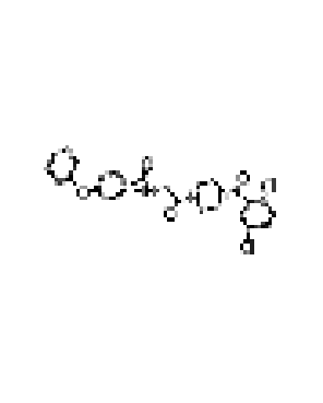 O=C(NCC(=O)N1CCN(C(=O)c2cc(Cl)ccc2Cl)CC1)c1ccc(Oc2ccccc2)cc1